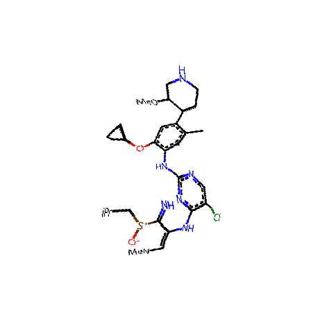 CN/C=C(/Nc1nc(Nc2cc(C)c(C3CCNCC3OC)cc2OC2CC2)ncc1Cl)C(=N)[S+]([O-])CC(C)C